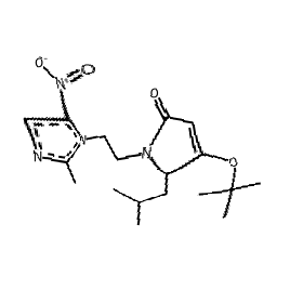 Cc1ncc([N+](=O)[O-])n1CCN1C(=O)C=C(OC(C)(C)C)C1CC(C)C